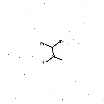 CC(C)C(C(C)C)N(C)C(C)C